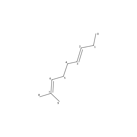 CCC=CCCC=C(C)C